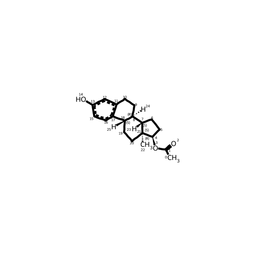 CC(=O)O[C@@H]1CC[C@H]2[C@@H]3CCc4cc(O)ccc4[C@H]3CC[C@]12C